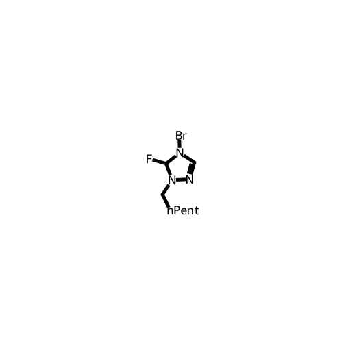 CCCCCCN1N=CN(Br)C1F